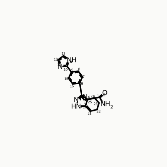 NC(=O)C1=NN(c2ccc(-c3ncc[nH]3)cc2)C2=NNC3=CCCCC312